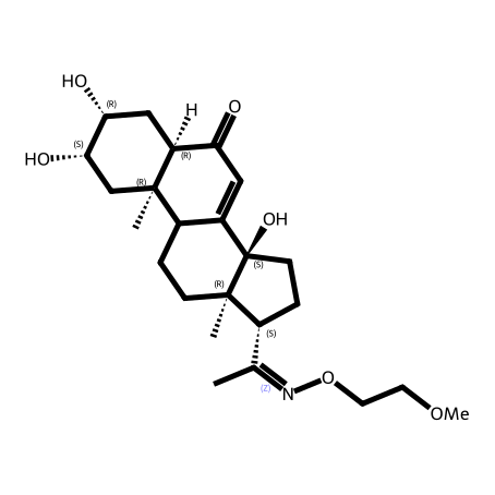 COCCO/N=C(/C)[C@H]1CC[C@@]2(O)C3=CC(=O)[C@@H]4C[C@@H](O)[C@@H](O)C[C@]4(C)C3CC[C@]12C